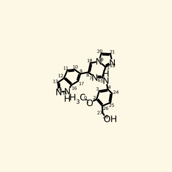 COc1cc(Nc2nc(-c3ccc4cn[nH]c4c3)cn3ccnc23)ccc1CO